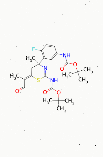 C/C(C=O)=C1\C[C@@](C)(c2cc(NC(=O)OC(C)(C)C)ccc2F)N=C(NC(=O)OC(C)(C)C)S1